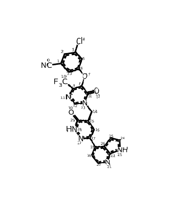 N#Cc1cc(Cl)cc(Oc2c(C(F)(F)F)ncn(Cc3cc(-c4ccnc5[nH]ccc45)n[nH]c3=O)c2=O)c1